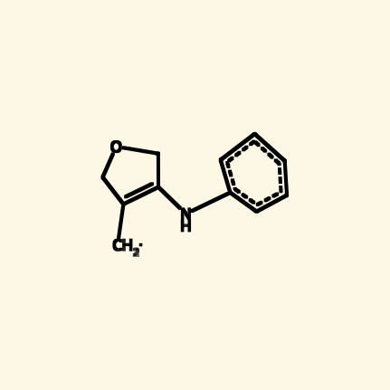 [CH2]C1=C(Nc2ccccc2)COC1